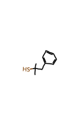 CC(C)(S)Cc1ccccc1